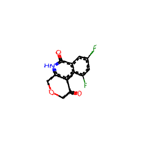 O=C1COCc2[nH]c(=O)c3cc(F)cc(F)c3c21